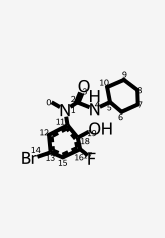 CN(C(=O)NC1CCCCC1)c1cc(Br)cc(F)c1O